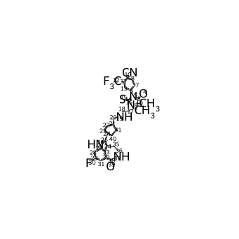 CC1(C)C(=O)N(c2ccc(C#N)c(C(F)(F)F)c2)C(=S)N1CCNCc1ccc(-c2[nH]c3cc(F)cc4c3c2CCNC4=O)cc1